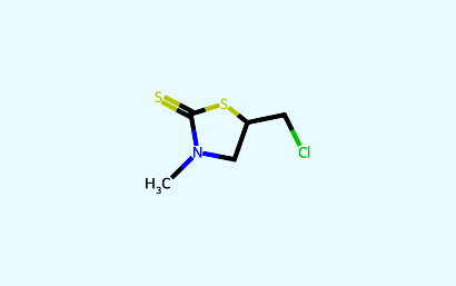 CN1CC(CCl)SC1=S